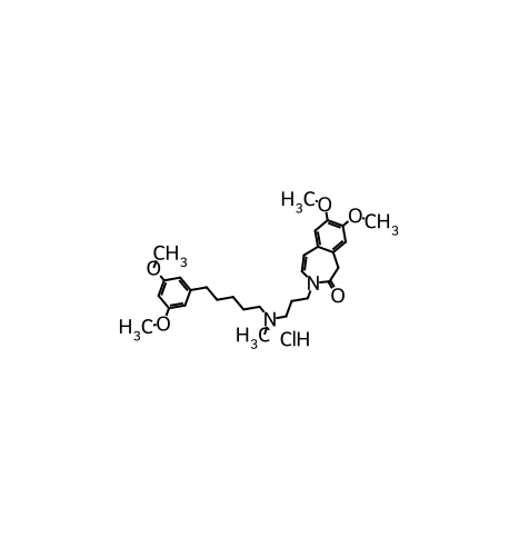 COc1cc(CCCCCN(C)CCCN2C=Cc3cc(OC)c(OC)cc3CC2=O)cc(OC)c1.Cl